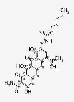 CCCCCOC(=O)NCc1cc(N(C)C)c2c(c1O)C(=O)C1=C(O)C3C(=O)C(C(N)=O)=C(O)CC3CC1C2